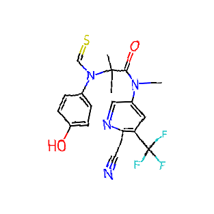 CN(C(=O)C(C)(C)N(C=S)c1ccc(O)cc1)c1cnc(C#N)c(C(F)(F)F)c1